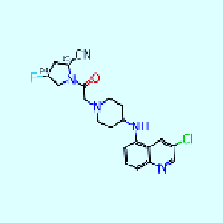 N#C[C@@H]1C[C@H](F)CN1C(=O)CN1CCC(Nc2cccc3ncc(Cl)cc23)CC1